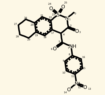 CN1C(=O)C(C(=O)Nc2ccc([N+](=O)[O-])cc2)c2cc3c(cc2S1(=O)=O)CCCC3